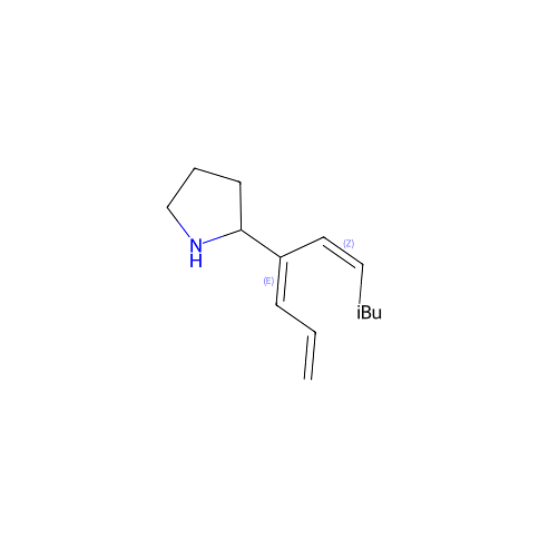 C=C/C=C(\C=C/C(C)CC)C1CCCN1